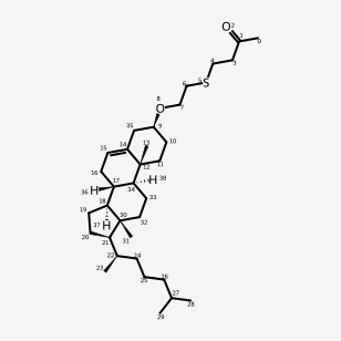 CC(=O)CCSCCO[C@H]1CC[C@@]2(C)C(=CC[C@H]3[C@@H]4CC[C@H]([C@H](C)CCCC(C)C)[C@@]4(C)CC[C@@H]32)C1